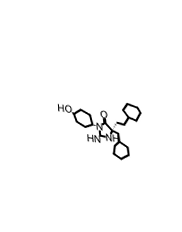 N=C1N[C@](CCC2CCCCC2)(CC2CCCCC2)C(=O)N1[C@H]1CC[C@H](O)CC1